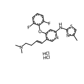 Cc1csc(Nc2cc(Oc3c(F)cccc3F)c(C=CCCN(C)C)cn2)n1.Cl.Cl